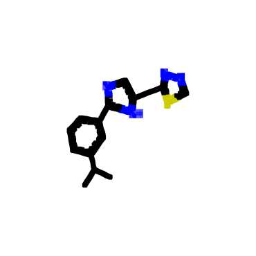 CC(C)c1cccc(-c2ncc(-c3nncs3)[nH]2)c1